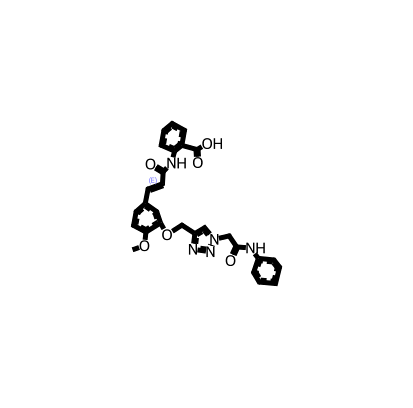 COc1ccc(/C=C/C(=O)Nc2ccccc2C(=O)O)cc1OCc1cn(CC(=O)Nc2ccccc2)nn1